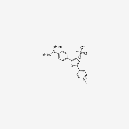 CCCCCCN(CCCCCC)c1ccc(-c2ccc(-c3cc[n+](C)cc3)s2)cc1.CS(=O)(=O)[O-]